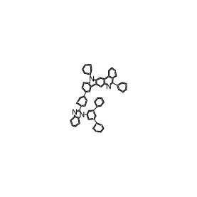 c1ccc(-c2cc(-c3ccccc3)cc(-n3c(-c4ccc(-c5ccc6c(c5)c5cc7nc(-c8ccccc8)c8ccccc8c7cc5n6-c5ccccc5)cc4)nc4ccccc43)c2)cc1